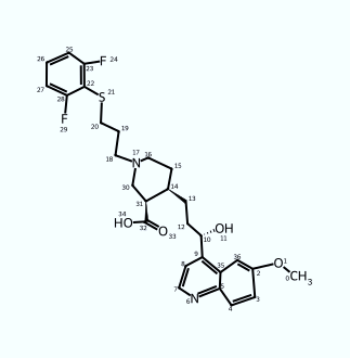 COc1ccc2nccc([C@@H](O)CC[C@@H]3CCN(CCCSc4c(F)cccc4F)C[C@@H]3C(=O)O)c2c1